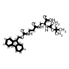 CC(C)(C)OC(=O)N[C@@H](CNC(=O)CCNC(=O)OCC1c2ccccc2-c2ccccc21)C(=O)O